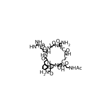 CC(=O)NCC(=O)NC1CCCNC(=O)CCC(C(N)=O)NC(=O)[C@H](C)NC(=O)C(CCCNC(=N)N)NC(=O)C(Cc2ccccc2)NC(=O)[C@H](CCC(N)=O)NC1=O